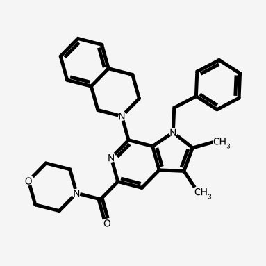 Cc1c(C)n(Cc2ccccc2)c2c(N3CCc4ccccc4C3)nc(C(=O)N3CCOCC3)cc12